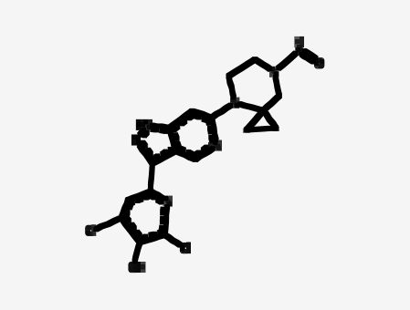 O=[SH]N1CCN(c2cc3[nH]nc(-c4cc(Cl)c(O)c(Cl)n4)c3cn2)C2(CC2)C1